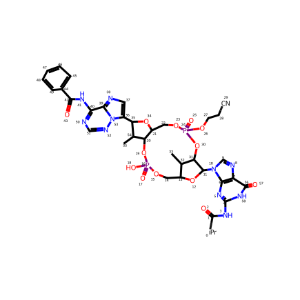 CC(C)C(=O)Nc1nc2c(ncn2C2OC3COP(=O)(O)OC4C(COP(=O)(OCCC#N)OC2C3C)OC(c2cnc3c(NC(=O)c5ccccc5)ncnn23)C4C)c(=O)[nH]1